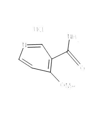 COc1ccncc1C(N)=O.Cl